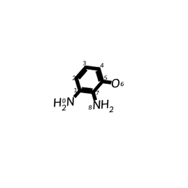 Nc1cccc([O])c1N